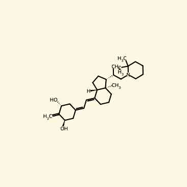 C=C1[C@H](O)CC(=CC=C2CCC[C@]3(C)[C@@H](C(C)CN4CCCCC4(C)C)CC[C@@H]23)C[C@H]1O